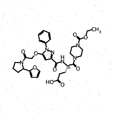 CCOC(=O)N1CCN(C(=O)[C@H](CCC(=O)O)NC(=O)c2cc(OCC(=O)N3CCCC3c3ccco3)n(-c3ccccc3)n2)CC1